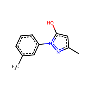 Cc1cc(O)n(-c2cccc(C(F)(F)F)c2)n1